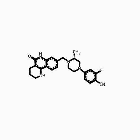 C[C@H]1CN(c2ccc(C#N)c(F)c2)CCN1Cc1ccc2c3c(c(=O)[nH]c2c1)CCCN3